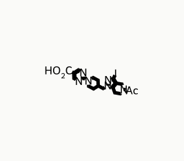 CC(=O)N1CCc2c(c(I)nn2CC2CCN(c3ncc(C(=O)O)cn3)CC2)C1